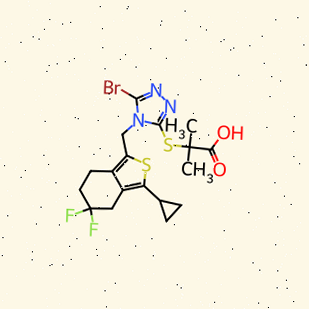 CC(C)(Sc1nnc(Br)n1Cc1sc(C2CC2)c2c1CCC(F)(F)C2)C(=O)O